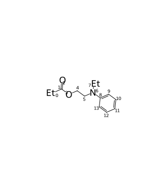 CCC(=O)OCCN(CC)c1ccccc1